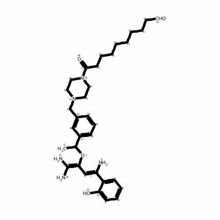 CC(OC(/C=C(\N)c1ccccc1O)=C(N)N)c1cccc(CN2CCN(C(=O)CCCCCCCCC=O)CC2)c1